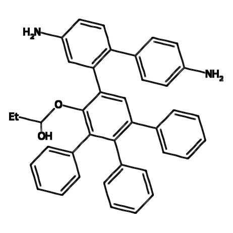 CCC(O)Oc1c(-c2cc(N)ccc2-c2ccc(N)cc2)cc(-c2ccccc2)c(-c2ccccc2)c1-c1ccccc1